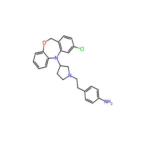 Nc1ccc(CCN2CCC(N3c4cc(Cl)ccc4COc4ccccc43)C2)cc1